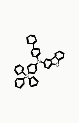 c1ccc(-c2ccc(N(c3ccc([Si](c4ccccc4)(c4ccccc4)c4ccccc4)cc3)c3ccc4oc5ccccc5c4c3)cc2)cc1